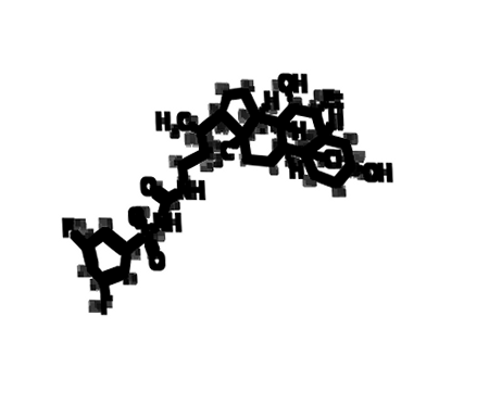 CC[C@H]1[C@@H](O)[C@@H]2[C@H](CC[C@]3(C)[C@@H]([C@H](C)CCNC(=O)NS(=O)(=O)c4cc(F)cc(F)c4)CC[C@@H]23)[C@@]2(C)CC[C@@H](O)C[C@@H]12